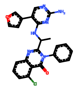 CC(Nc1nc(N)ncc1-c1ccoc1)c1nc2cccc(Cl)c2c(=O)n1-c1ccccc1